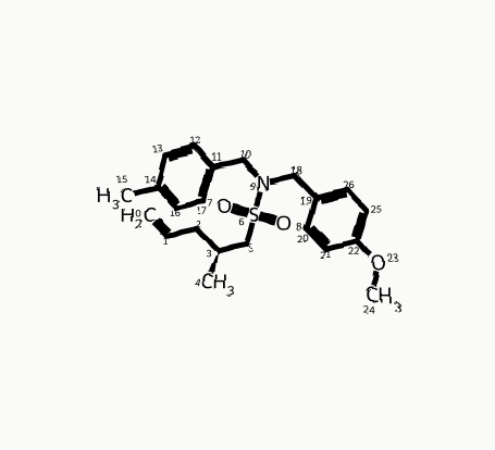 C=CC[C@H](C)CS(=O)(=O)N(Cc1ccc(C)cc1)Cc1ccc(OC)cc1